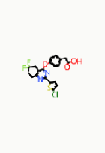 O=C(O)Cc1ccc(Oc2nc(-c3ccc(Cl)s3)nc3c2CC(F)(F)CC3)cc1